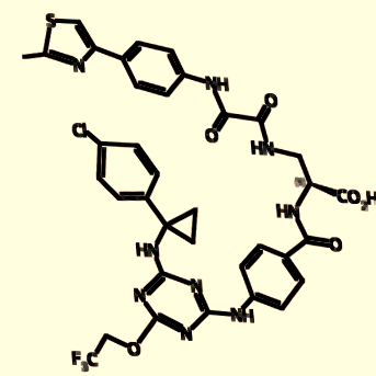 Cc1nc(-c2ccc(NC(=O)C(=O)NC[C@H](NC(=O)c3ccc(Nc4nc(NC5(c6ccc(Cl)cc6)CC5)nc(OCC(F)(F)F)n4)cc3)C(=O)O)cc2)cs1